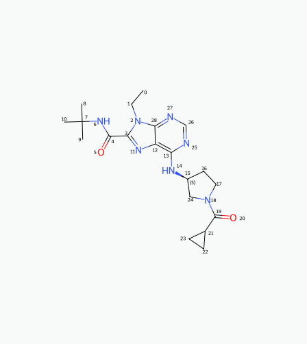 CCn1c(C(=O)NC(C)(C)C)nc2c(N[C@H]3CCN(C(=O)C4CC4)C3)ncnc21